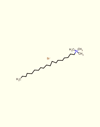 CCCCCCCCCCCCCCCCCCC[N+](C)(C)C.[Br-]